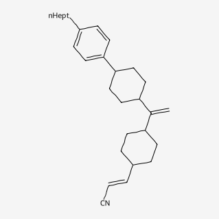 C=C(C1CCC(C=CC#N)CC1)C1CCC(c2ccc(CCCCCCC)cc2)CC1